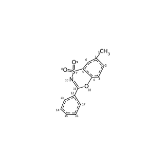 Cc1ccc2c(c1)S(=O)(=O)N=C(c1ccccc1)O2